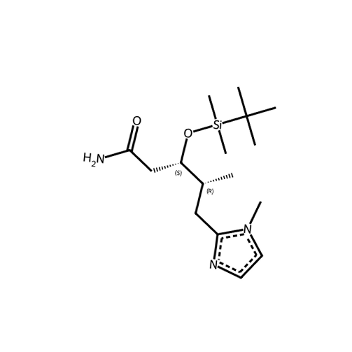 C[C@H](Cc1nccn1C)[C@H](CC(N)=O)O[Si](C)(C)C(C)(C)C